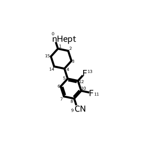 CCCCCCCC1CCC(c2ccc(C#N)c(F)c2F)CC1